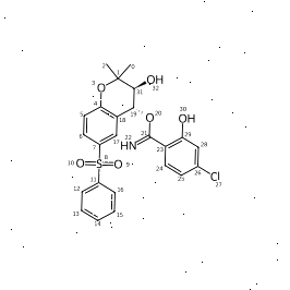 CC1(C)Oc2ccc(S(=O)(=O)c3ccccc3)cc2[C@@H](OC(=N)c2ccc(Cl)cc2O)[C@@H]1O